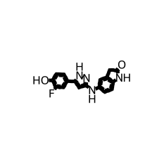 O=C1Cc2cc(Nc3cc(-c4ccc(O)c(F)c4)[nH]n3)ccc2N1